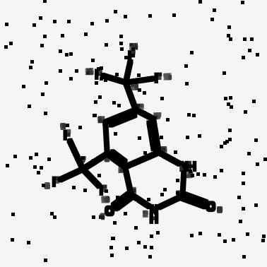 O=c1[nH]c(=O)c2c(C(F)(F)F)cc(C(F)(F)F)cc2[nH]1